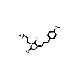 COc1ccc(CCC=C2SC(=O)N(CCN)C2=O)cc1